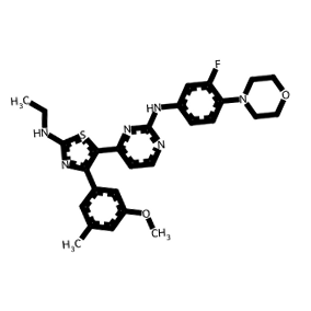 CCNc1nc(-c2cc(C)cc(OC)c2)c(-c2ccnc(Nc3ccc(N4CCOCC4)c(F)c3)n2)s1